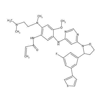 C=CC(=O)Nc1cc(Nc2cc(N3OCCC3c3cc(F)cc(-c4ccsc4)c3)ncn2)c(OC)cc1N(C)CCN(C)C